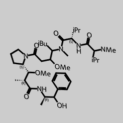 CCC(C)C(C(CC(=O)N1CCC[C@H]1C(OC)[C@@H](C)C(=O)N[C@H](C)C(O)c1ccccc1)OC)N(C)C(=O)[C@@H](NC(=O)C(NC)C(C)C)C(C)C